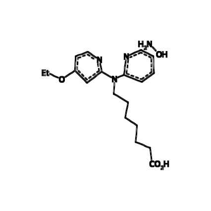 CCOc1ccnc(N(CCCCCCC(=O)O)c2ccccn2)c1.NO